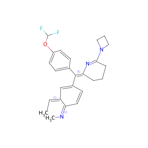 C/C=C1C=C(/C(=C2\CCCC(N3CCC3)=N2)c2ccc(OC(F)F)cc2)C=CC/1=N/C